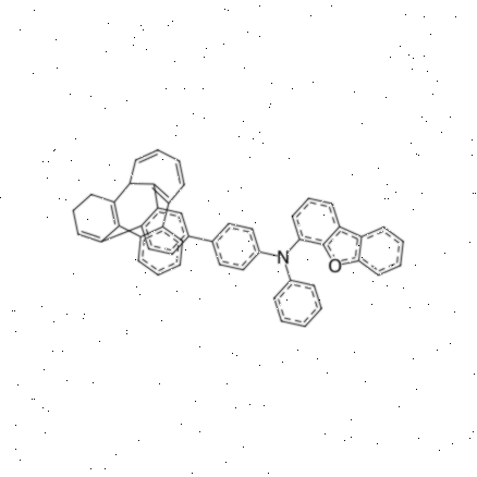 C1=CC2=C3c4cc(-c5ccc(N(c6ccccc6)c6cccc7c6oc6ccccc67)cc5)ccc4C4=CCCC(=C4c4ccccc42)C3C=C1